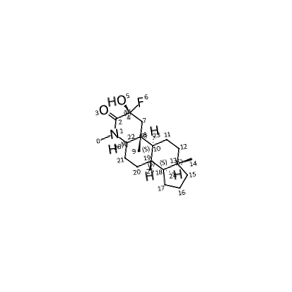 CN1C(=O)[C@](O)(F)C[C@]2(C)[C@H]3CC[C@]4(C)CCC[C@H]4[C@@H]3CC[C@@H]12